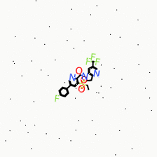 CCS(=O)(=O)c1cc(-c2ccc(F)cc2)cnc1C(=O)N1CCc2ncc(C(F)(F)F)cc21